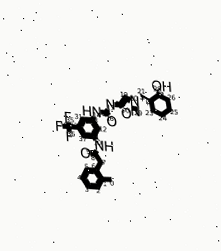 Cc1ccccc1CC(=O)Nc1cc(NC(=O)[N-]c2c[n+](C[C@@H]3CCCC[C@H]3O)no2)cc(C(F)(F)F)c1